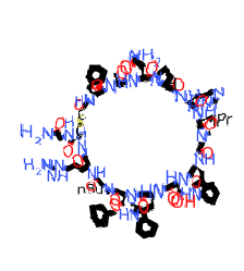 CCCC[C@H]1C(=O)NC(CCCNC(=N)N)C(=O)N[C@H](C(=O)NCC(N)=O)CSCC(=O)N[C@@H](Cc2ccccc2)C(=O)N(C)[C@@H](C)C(=O)N[C@@H](CC(N)=O)C(=O)N2CCC[C@H]2C(=O)N[C@@H](Cc2cnc[nH]2)C(=O)N[C@@H](CC(C)C)C(=O)N(C)CC(=O)N[C@@H](Cc2c[nH]c3ccccc23)C(=O)N[C@@H](CO)C(=O)N[C@@H](Cc2c[nH]c3ccccc23)C(=O)N(C)[C@@H](COCc2ccccc2)C(=O)N1C